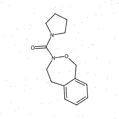 O=C(N1CCCC1)N1CCc2ccccc2CO1